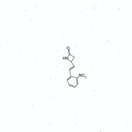 O=C1CC(C=Cc2ccccc2[N+](=O)[O-])N1